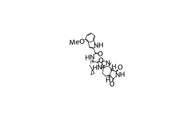 COc1cccc2[nH]c(C(=O)N[C@@H](CC3CC3)C(=O)N[C@@]3(C#N)CC[C@H]4C(=O)NC(=O)[C@@H]4C3C)cc12